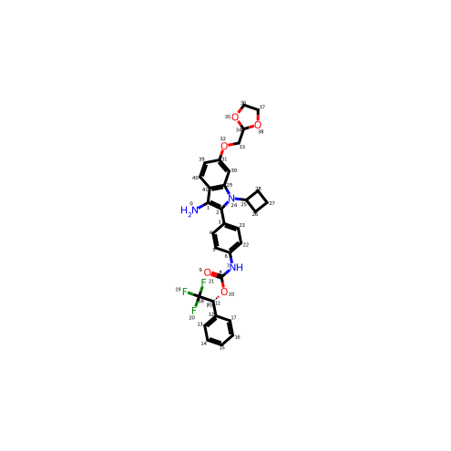 Nc1c(-c2ccc(NC(=O)O[C@H](c3ccccc3)C(F)(F)F)cc2)n(C2CCC2)c2cc(OCC3OCCO3)ccc12